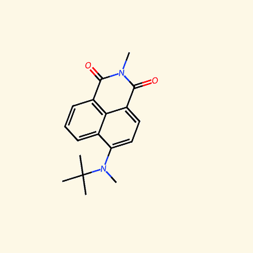 CN1C(=O)c2cccc3c(N(C)C(C)(C)C)ccc(c23)C1=O